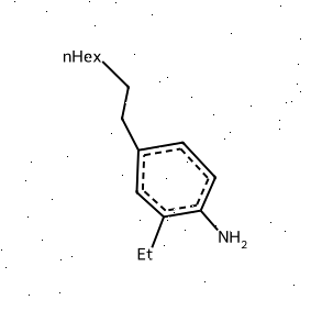 CCCCCCCCc1ccc(N)c(CC)c1